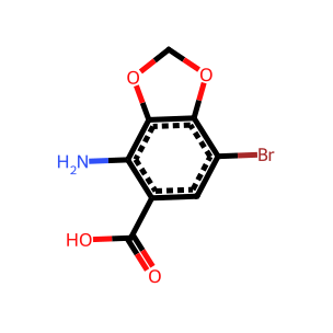 Nc1c(C(=O)O)cc(Br)c2c1OCO2